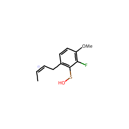 C/C=C\Cc1ccc(OC)c(F)c1SO